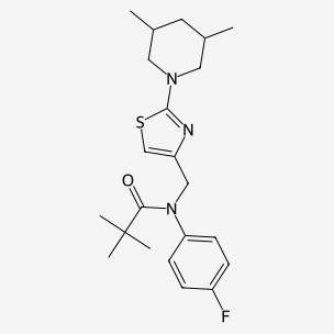 CC1CC(C)CN(c2nc(CN(C(=O)C(C)(C)C)c3ccc(F)cc3)cs2)C1